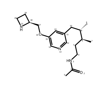 CC(=O)NCC[C@H](C)[C@@H](C)Cc1cncc(OC[C@@H]2CCN2)c1